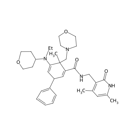 CCN(C1=CC(c2ccccc2)C=C(C(=O)NCc2c(C)cc(C)[nH]c2=O)C1(C)CN1CCOCC1)C1CCOCC1